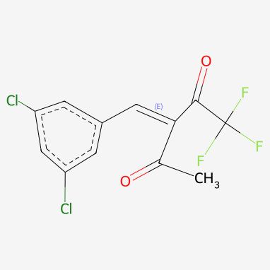 CC(=O)/C(=C\c1cc(Cl)cc(Cl)c1)C(=O)C(F)(F)F